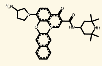 CC1(C)CC(NC(=O)c2cn3c4c(c(N5CCC(N)C5)ccc4c2=O)Oc2cc4ccccc4cc2-3)CC(C)(C)N1